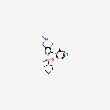 CNCc1cn(S(=O)(=O)N2CCCCC2)c(-c2cccnc2F)c1F.Cl